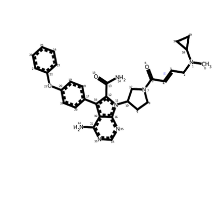 CN(C/C=C/C(=O)N1CCC(n2c(C(N)=O)c(-c3ccc(Oc4ccccc4)cc3)c3c(N)ncnc32)C1)C1CC1